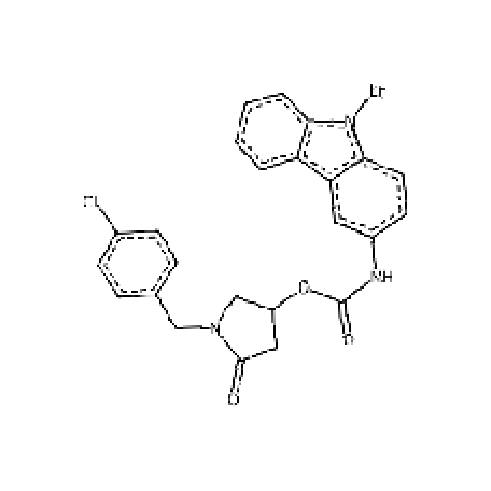 CCn1c2ccccc2c2cc(NC(=O)OC3CC(=O)N(Cc4ccc(Cl)cc4)C3)ccc21